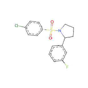 O=S(=O)(c1ccc(Cl)cc1)N1CCCC1c1cccc(F)c1